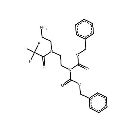 NCCN(CCN(C(=O)OCc1ccccc1)C(=O)OCc1ccccc1)C(=O)C(F)(F)F